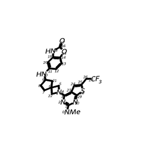 CNc1nc(N2CC3(CCC(Nc4ccc5oc(=O)[nH]c5c4)C3)C2)c2cc(CC(F)(F)F)sc2n1